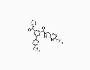 Cc1ccc(-c2cc(C(=O)NCc3cnc(C)nc3)cc(C(=O)N3CCCC3)c2)cc1